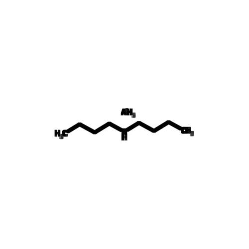 CCCCNCCCC.[AlH3]